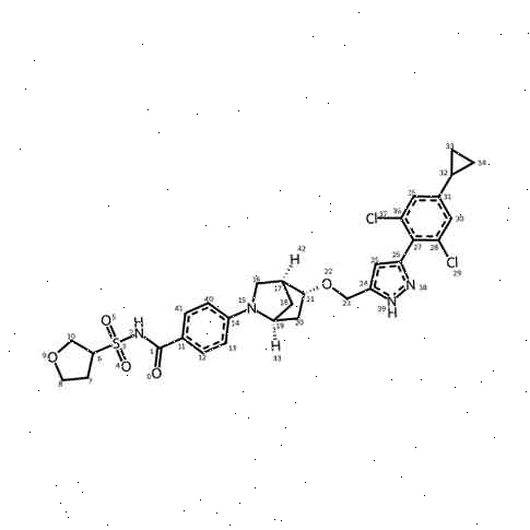 O=C(NS(=O)(=O)C1CCOC1)c1ccc(N2C[C@@H]3C[C@H]2C[C@H]3OCc2cc(-c3c(Cl)cc(C4CC4)cc3Cl)n[nH]2)cc1